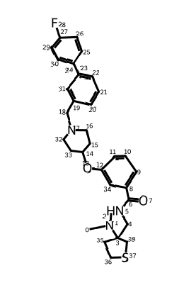 CN(C)C1(CNC(=O)c2cccc(OC3CCN(Cc4cccc(-c5ccc(F)cc5)c4)CC3)c2)CCSC1